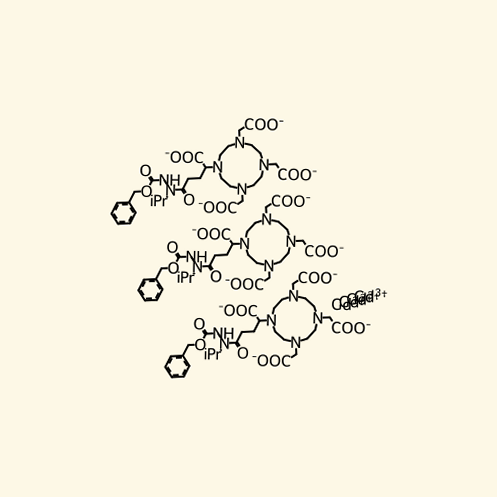 CC(C)N(NC(=O)OCc1ccccc1)C(=O)CCC(C(=O)[O-])N1CCN(CC(=O)[O-])CCN(CC(=O)[O-])CCN(CC(=O)[O-])CC1.CC(C)N(NC(=O)OCc1ccccc1)C(=O)CCC(C(=O)[O-])N1CCN(CC(=O)[O-])CCN(CC(=O)[O-])CCN(CC(=O)[O-])CC1.CC(C)N(NC(=O)OCc1ccccc1)C(=O)CCC(C(=O)[O-])N1CCN(CC(=O)[O-])CCN(CC(=O)[O-])CCN(CC(=O)[O-])CC1.[Gd+3].[Gd+3].[Gd+3].[Gd+3]